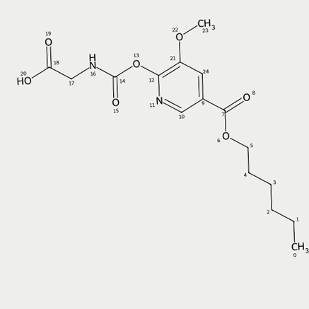 CCCCCCOC(=O)c1cnc(OC(=O)NCC(=O)O)c(OC)c1